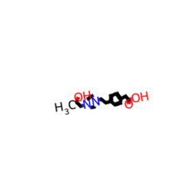 CC(O)CN1CCN(CCc2ccc(CC(=O)O)cc2)CC1